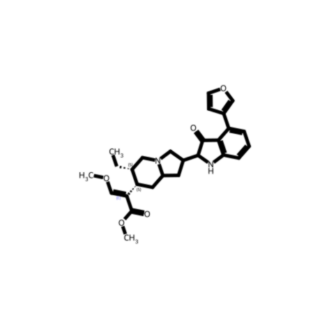 CC[C@@H]1CN2CC(C3Nc4cccc(-c5ccoc5)c4C3=O)CC2C[C@@H]1/C(=C\OC)C(=O)OC